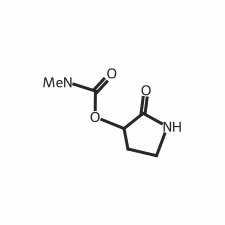 CNC(=O)OC1CCNC1=O